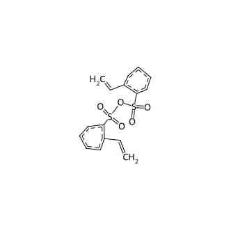 C=Cc1ccccc1S(=O)(=O)OS(=O)(=O)c1ccccc1C=C